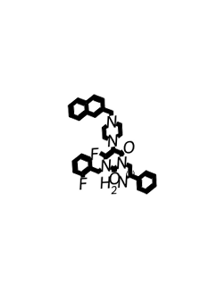 Cc1c(N2CCN(Cc3ccc4ccccc4c3)CC2)c(=O)n(C[C@H](N)c2ccccc2)c(=O)n1Cc1c(F)cccc1F